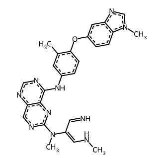 CN/C=C(\C=N)N(C)c1ncc2ncnc(Nc3ccc(Oc4ccc5c(c4)ncn5C)c(C)c3)c2n1